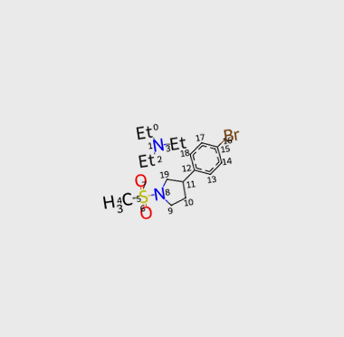 CCN(CC)CC.CS(=O)(=O)N1CCC(c2ccc(Br)cc2)C1